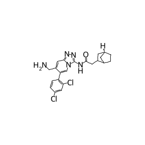 NCc1cc2nnc(NC(=O)CC3C[C@@H]4CCC3C4)n2cc1-c1ccc(Cl)cc1Cl